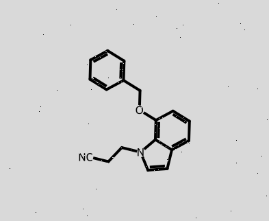 N#CCCn1ccc2cccc(OCc3ccccc3)c21